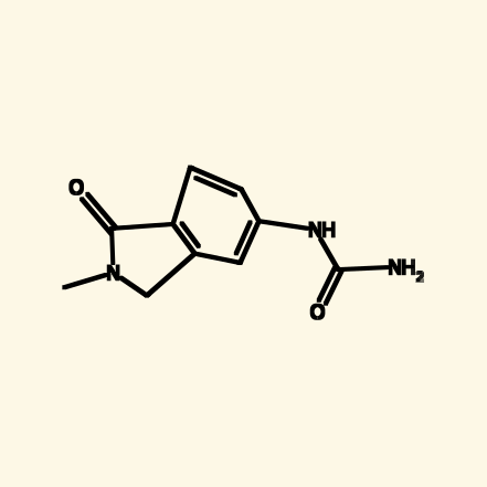 CN1Cc2cc(NC(N)=O)ccc2C1=O